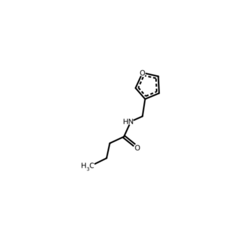 CCCC(=O)NCc1ccoc1